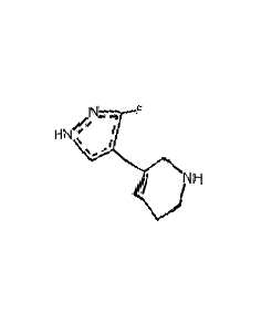 Fc1n[nH]cc1C1=CCCNC1